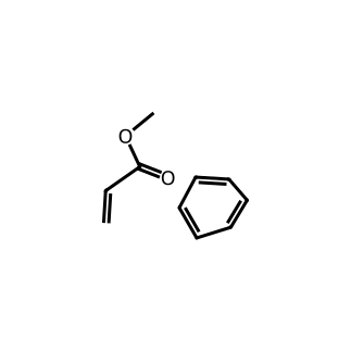 C=CC(=O)OC.c1ccccc1